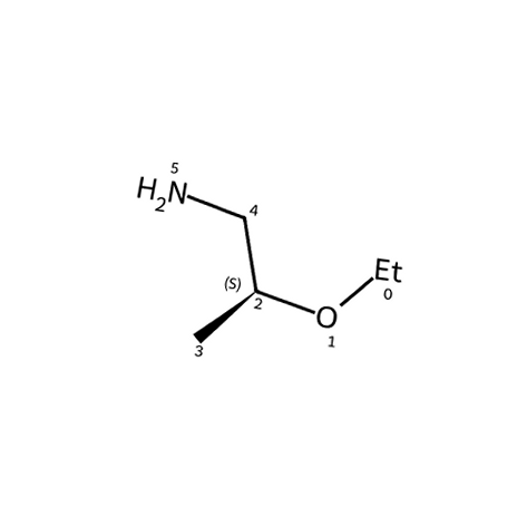 CCO[C@@H](C)CN